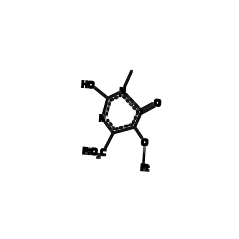 CCOC(=O)c1nc(O)n(C)c(=O)c1OCC